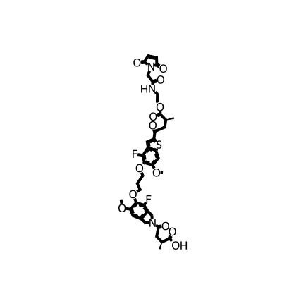 COc1cc2c(c(F)c1OCCCOc1c(OC)cc3sc(C(=O)C[C@H](C)C(=O)OCCNC(=O)CN4C(=O)C=CC4=O)cc3c1F)CN(C(=O)C[C@H](C)C(=O)O)C2